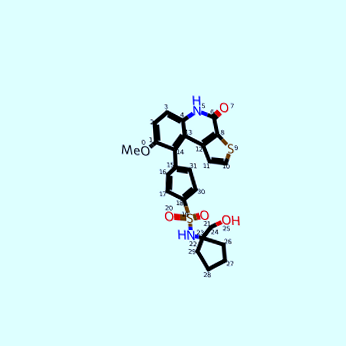 COc1ccc2[nH]c(=O)c3sccc3c2c1-c1ccc(S(=O)(=O)NC2(CO)CCCC2)cc1